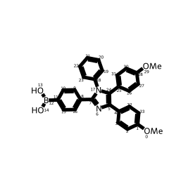 COc1ccc(-c2nc(-c3ccc(B(O)O)cc3)n(-c3ccccc3)c2-c2ccc(OC)cc2)cc1